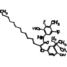 CCCCCCCCCCCCC(Oc1ccc(O)c(C(C)(C)C)c1)C(=O)Nc1cc(F)c(C)c(F)c1O